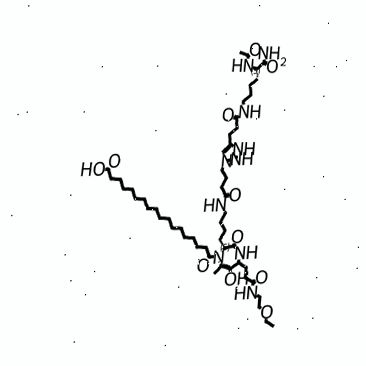 CCOCCNC(=O)CCC1NC(=O)[C@H](CCCCNC(=O)CCCN2C=C(CCC(=O)NCCCC[C@H](NC(C)=O)C(N)=O)NN2)N(C(=O)CCCCCCCCCCCCCCCCC(=O)O)C(C)=C1O